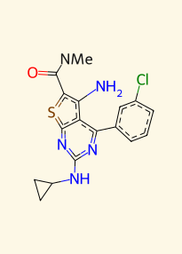 CNC(=O)c1sc2nc(NC3CC3)nc(-c3cccc(Cl)c3)c2c1N